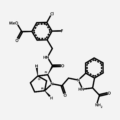 COC(=O)c1cc(Cl)c(F)c(CNC(=O)[C@@H]2[C@H]3CC[C@H](C3)N2C(=O)CN2NC(C(N)=O)c3ccccc32)c1